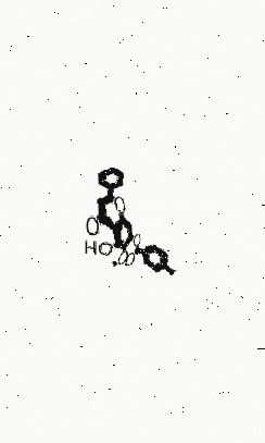 COc1c(OC(=O)c2ccc(C)cc2)cc2oc(-c3ccccc3)cc(=O)c2c1O